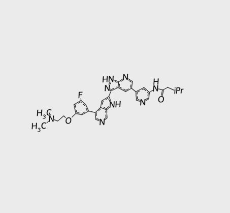 CC(C)CC(=O)Nc1cncc(-c2cnc3[nH]nc(-c4cc5c(-c6cc(F)cc(OCCN(C)C)c6)cncc5[nH]4)c3c2)c1